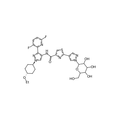 CCO[C@H]1CC[C@H](n2cc(NC(=O)c3csc(-c4cnn(C5OC(CO)C(O)C(O)C5O)c4)n3)c(-c3nc(F)ccc3F)n2)CC1